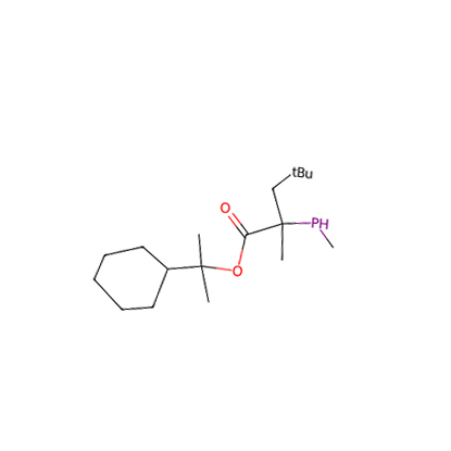 CPC(C)(CC(C)(C)C)C(=O)OC(C)(C)C1CCCCC1